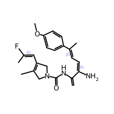 C=C(NC(=O)N1CC(C)=C(/C=C(\C)F)C1)/C(N)=C\C=C(/C)c1ccc(OC)cc1